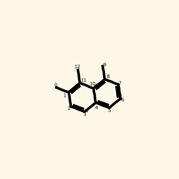 Cc1c[c]c2cccc(C)c2c1C